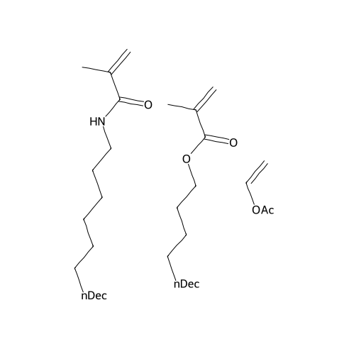 C=C(C)C(=O)NCCCCCCCCCCCCCCCC.C=C(C)C(=O)OCCCCCCCCCCCCCC.C=COC(C)=O